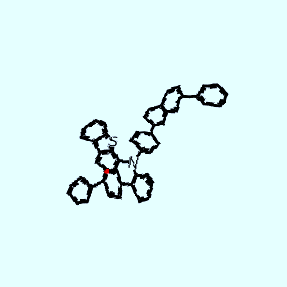 c1ccc(-c2ccc(-c3ccccc3N(c3ccc(-c4ccc5ccc(-c6ccccc6)cc5c4)cc3)c3cccc4c3sc3ccccc34)cc2)cc1